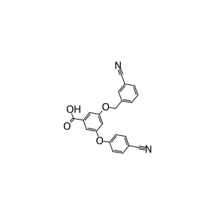 N#Cc1ccc(Oc2cc(OCc3cccc(C#N)c3)cc(C(=O)O)c2)cc1